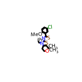 COc1ccc(Cl)cc1C(=S)/N=c1\sc2c(n1CC(C)C)CCOC2(C)C